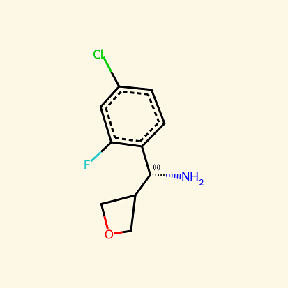 N[C@@H](c1ccc(Cl)cc1F)C1COC1